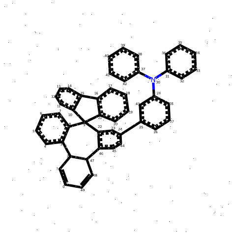 C1=CC2c3ccccc3C3(c4ccccc4-c4ccccc43)c3cc(-c4cccc(N(c5ccccc5)c5ccccc5)c4)ccc3C2C=C1